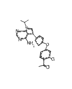 CC(=O)c1ccc(Oc2ccc(-c3cn(C(C)C)c4ncnc(N)c34)cc2)cc1Cl